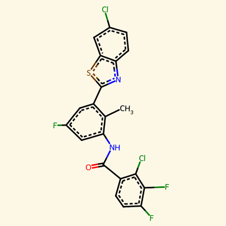 Cc1c(NC(=O)c2ccc(F)c(F)c2Cl)cc(F)cc1-c1nc2ccc(Cl)cc2s1